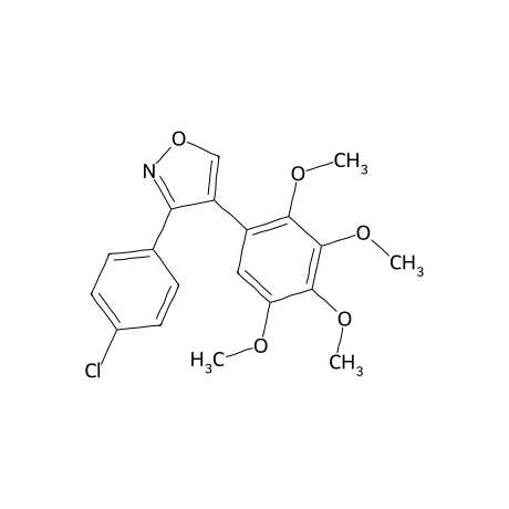 COc1cc(-c2conc2-c2ccc(Cl)cc2)c(OC)c(OC)c1OC